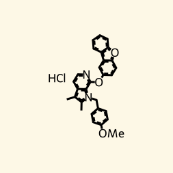 COc1ccc(Cn2c(C)c(C)c3ccnc(Oc4ccc5oc6ccccc6c5c4)c32)cc1.Cl